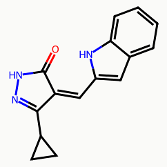 O=C1NN=C(C2CC2)C1=Cc1cc2ccccc2[nH]1